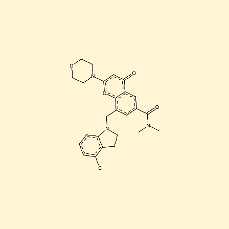 CN(C)C(=O)c1cc(CN2CCc3c(Cl)cccc32)c2oc(N3CCOCC3)cc(=O)c2c1